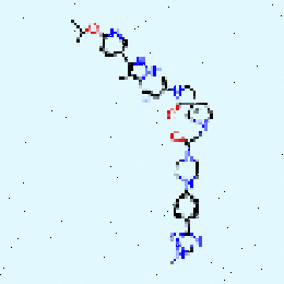 C=C(/C=C\c1[nH]nc(-c2ccc(OC(C)C)nc2)c1C)N1CC[C@]2(CCN(CC(=O)N3CCN(c4ccc(-c5ncn(C)n5)cc4)CC3)C2)C1=O